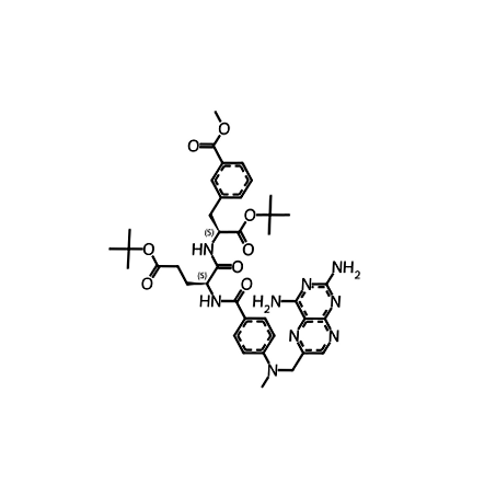 COC(=O)c1cccc(C[C@H](NC(=O)[C@H](CCC(=O)OC(C)(C)C)NC(=O)c2ccc(N(C)Cc3cnc4nc(N)nc(N)c4n3)cc2)C(=O)OC(C)(C)C)c1